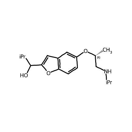 CC(C)NC[C@@H](C)Oc1ccc2oc(C(O)C(C)C)cc2c1